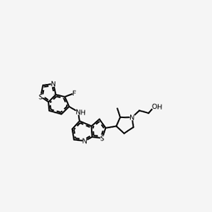 CC1C(c2cc3c(Nc4ccc5scnc5c4F)ccnc3s2)CCN1CCO